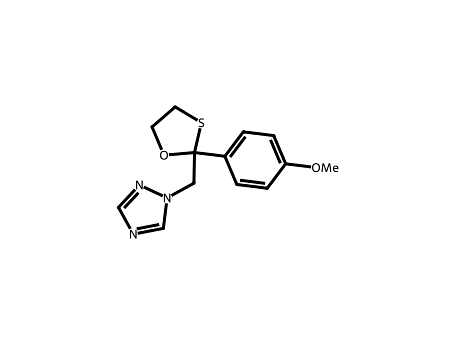 COc1ccc(C2(Cn3cncn3)OCCS2)cc1